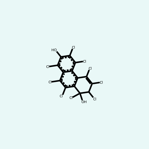 Oc1c(Cl)c(Cl)c2c3c(c(Cl)c(Cl)c2c1Cl)C(O)(Cl)C(Cl)C(Cl)=C3Cl